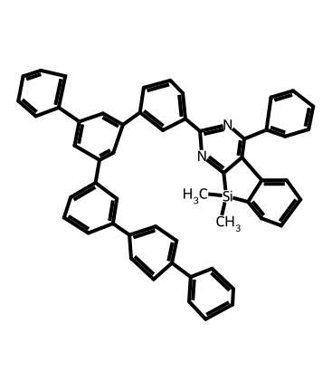 C[Si]1(C)c2ccccc2-c2c(-c3ccccc3)nc(-c3cccc(-c4cc(-c5ccccc5)cc(-c5cccc(-c6ccc(-c7ccccc7)cc6)c5)c4)c3)nc21